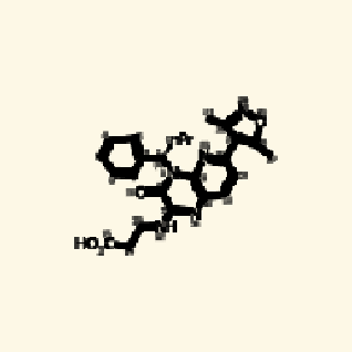 CCC[C@@H](c1ccccc1)n1c(=O)c(NCCC(=O)O)nc2ccc(-c3c(C)noc3C)nc21